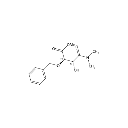 COC(=O)[C@H](OCc1ccccc1)[C@@H](O)C(=O)N(C)C